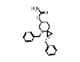 NC(=O)OC1CCC2(C[C@@H]2Cc2ccccc2)N(Cc2ccccc2)C1